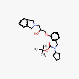 CC(C)(C)OC(=O)N(Cc1cccc(OCC(O)CN2Cc3ccccc3C2)c1)C1CCCC1